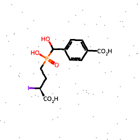 O=C(O)c1ccc(C(O)P(=O)(O)CC[C@H](I)C(=O)O)cc1